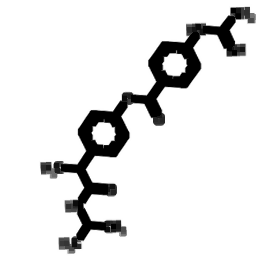 CC(C)NC(=O)C(C)c1ccc(OC(=O)c2ccc(NC(=N)N)cc2)cc1